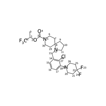 CC(OC(=O)N1CCC2(CCCN2Cc2cccc(N3CCC(F)(F)CC3)c2Cl)CC1)C(F)(F)F